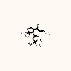 C/C=C/C(=O)C1COC(C)(C)N1C(=O)OC(C)(C)C